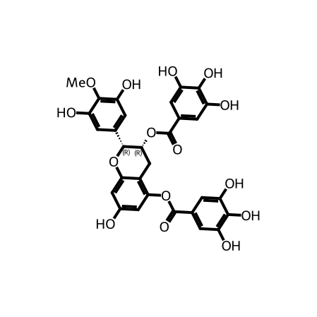 COc1c(O)cc([C@H]2Oc3cc(O)cc(OC(=O)c4cc(O)c(O)c(O)c4)c3C[C@H]2OC(=O)c2cc(O)c(O)c(O)c2)cc1O